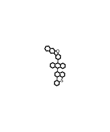 c1ccc2c(c1)Sc1cccc3c(-c4c5ccccc5c(-c5ccc6oc7cc8ccccc8cc7c6c5)c5ccccc45)ccc-2c13